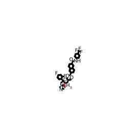 CC(CC1COC(c2ccc3cc(C(=O)Nc4ccc(C(F)(F)F)cc4)ccc3c2)OC1)C(O)(Cn1cncn1)c1ccc(F)cc1F